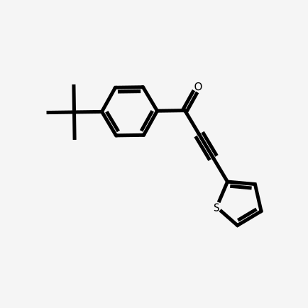 CC(C)(C)c1ccc(C(=O)C#Cc2cccs2)cc1